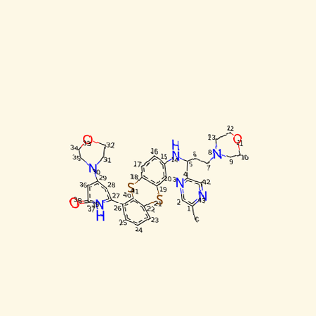 Cc1cnc(C(CCN2CCOCC2)Nc2ccc3c(c2)Sc2cccc(-c4cc(N5CCOCC5)cc(=O)[nH]4)c2S3)cn1